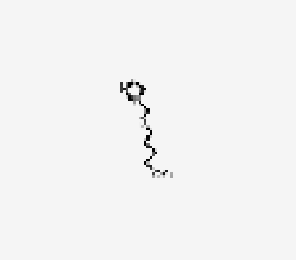 CC(=O)OCCCCOCn1ccnc1